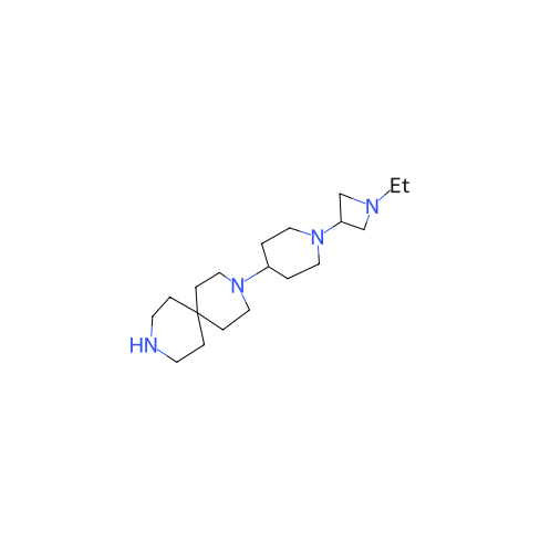 CCN1CC(N2CCC(N3CCC4(CCNCC4)CC3)CC2)C1